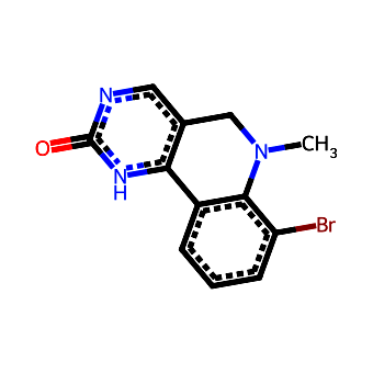 CN1Cc2cnc(=O)[nH]c2-c2cccc(Br)c21